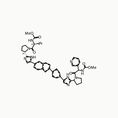 COC(=O)NC(C(=O)N1CCCC1c1ncc(-c2ccc(-c3ccc4cc(-c5cnc([C@@H]6CCCN6C(=O)[C@@H](NC(=O)OC)C(C)C)[nH]5)ccc4c3)cc2)[nH]1)c1cccnc1